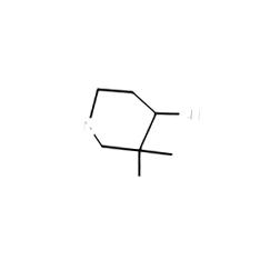 CC1(C)CNCCC1S